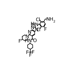 NCc1cc(F)c(Cl)c(Nc2nc3cc(C(=O)NC4CCC(C(F)(F)F)CC4)c(N4CCC(F)CC4)nc3[nH]2)c1Cl